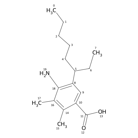 CCCCCC(CC)c1cc(C(=O)O)c(C)c(C)c1N